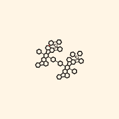 c1ccc(-c2c3cc4c5ccccc5c5cccc(c3c(-c3ccc(-c6ccc(-c7c8cc9c%10ccccc%10c%10cccc(c8c(-c8ccccc8)c8c%11cc%12c(c%13cccc(c78)c%13%11)[Si](c7ccccc7)(c7ccccc7)c7ccccc7-%12)c%109)cc6)cc3)c3c6cc7c(c8cccc(c23)c86)[Si]2(c3ccccc3-c3ccccc32)c2ccccc2-7)c54)cc1